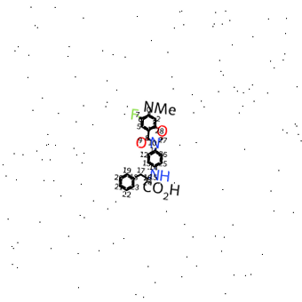 CNc1cc2c(cc1F)C(=O)N(c1ccc(N[C@H](Cc3ccccc3)C(=O)O)cc1)CO2